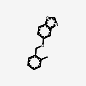 Cc1ccccc1COc1ccc2ocnc2c1